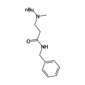 CCCCN(C)CCC(=O)NCc1ccccc1